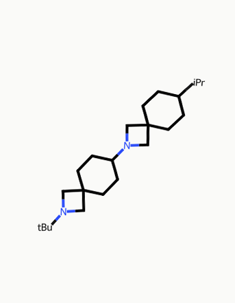 CC(C)C1CCC2(CC1)CN(C1CCC3(CC1)CN(C(C)(C)C)C3)C2